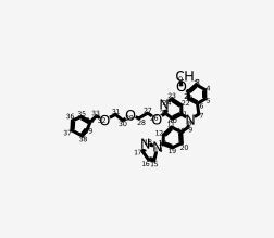 COc1cccc(CN(Cc2ccc(-n3cccn3)cc2)c2ccnc(OCCOCCOCc3ccccc3)c2)c1